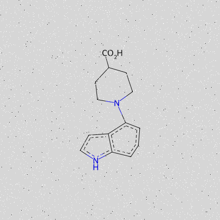 O=C(O)C1CCN(c2cccc3[nH]ccc23)CC1